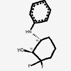 O[C@H]1[C@H](Nc2ccccc2)CCCC1(F)F